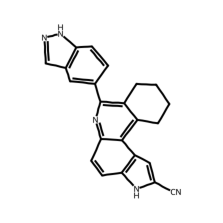 N#Cc1cc2c(ccc3nc(-c4ccc5[nH]ncc5c4)c4c(c32)CCCC4)[nH]1